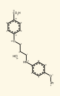 CC(C)Oc1ccc(NCCCOc2ccc(C(=O)O)cc2)cc1.Cl